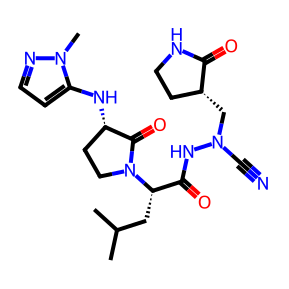 CC(C)C[C@@H](C(=O)NN(C#N)C[C@@H]1CCNC1=O)N1CC[C@H](Nc2ccnn2C)C1=O